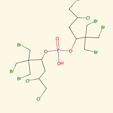 O=P(O)(OC(CC(Cl)CCl)C(CBr)(CBr)CBr)OC(CC(Cl)CCl)C(CBr)(CBr)CBr